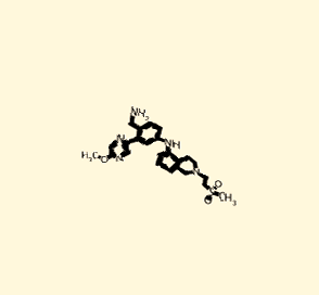 COc1cnc(-c2cc(Nc3cccc4c3CCN(CCS(C)(=O)=O)C4)ccc2CN)cn1